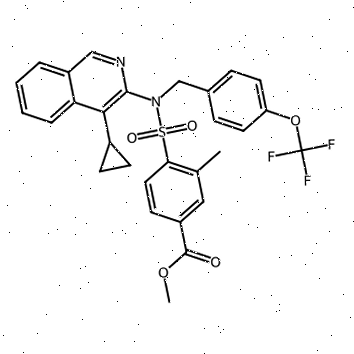 COC(=O)c1ccc(S(=O)(=O)N(Cc2ccc(OC(F)(F)F)cc2)c2ncc3ccccc3c2C2CC2)c(C)c1